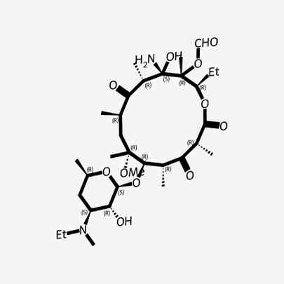 CC[C@H]1OC(=O)[C@H](C)C(=O)[C@H](C)[C@@H](O[C@@H]2O[C@H](C)C[C@H](N(C)CC)[C@H]2O)[C@](C)(OC)C[C@@H](C)C(=O)[C@H](C)[C@](N)(O)[C@]1(C)OC=O